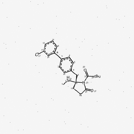 C[SiH2][C@@]1(Cc2ccc(-c3cccc(Cl)c3)cc2)CCC(=O)N1C(=O)C(C)(C)C